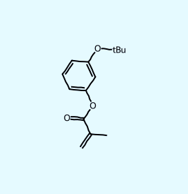 C=C(C)C(=O)Oc1cccc(OC(C)(C)C)c1